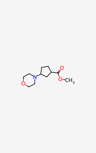 COC(=O)C1CCC(N2CCOCC2)C1